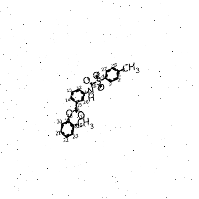 Cc1ccc(S(=O)(=O)C(=O)Nc2cccc(C(=O)Oc3ccccc3C)c2)cc1